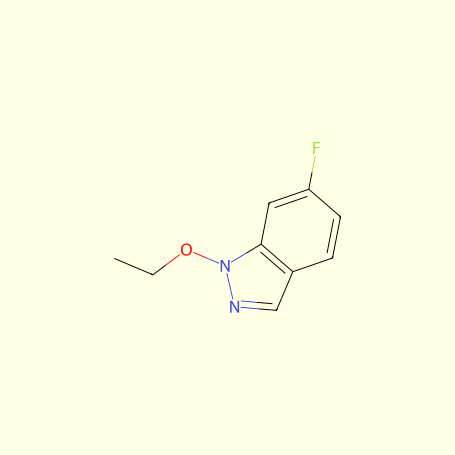 CCOn1ncc2ccc(F)cc21